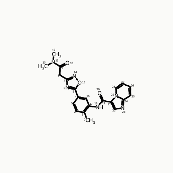 Cc1ccc(-c2nc(CC(=O)N(C)C)no2)cc1NC(=O)c1cnc2ccccn12